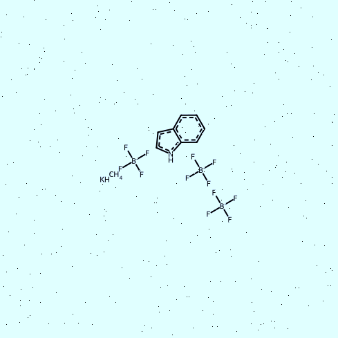 C.F[B-](F)(F)F.F[B-](F)(F)F.F[B-](F)(F)F.[KH].c1ccc2[nH]ccc2c1